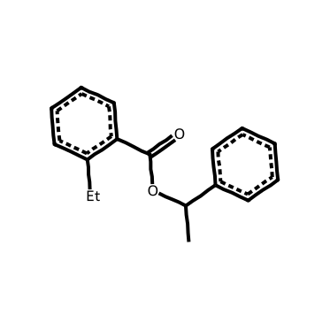 CCc1ccccc1C(=O)OC(C)c1ccccc1